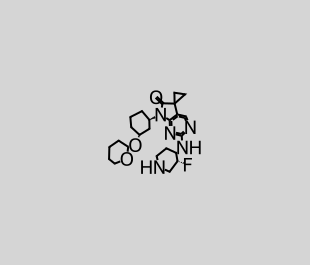 O=C1N([C@@H]2CCC[C@@H](OC3CCCCO3)C2)c2nc(N[C@H]3CCNC[C@H]3F)ncc2C12CC2